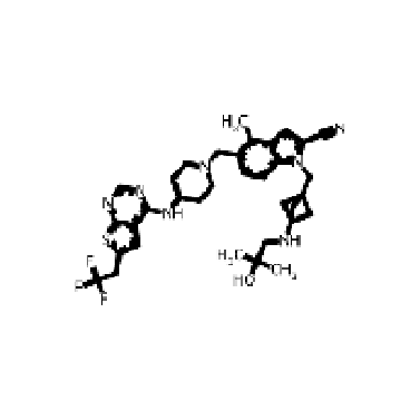 Cc1c(CN2CCC(Nc3ncnc4sc(CC(F)(F)F)cc34)CC2)ccc2c1cc(C#N)n2CC12CC(NCC(C)(C)O)(C1)C2